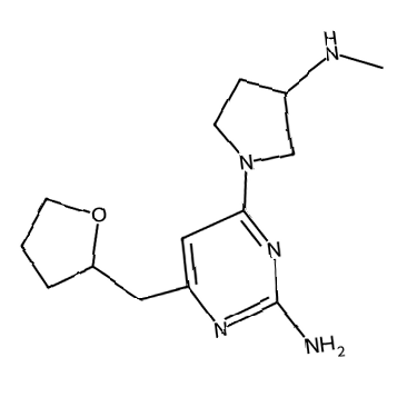 CNC1CCN(c2cc(CC3CCCO3)nc(N)n2)C1